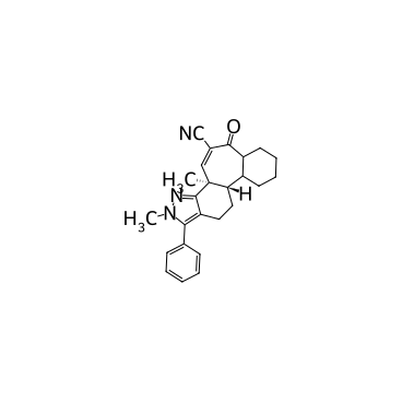 Cn1nc2c(c1-c1ccccc1)CC[C@H]1C3CCCCC3C(=O)C(C#N)=C[C@]21C